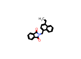 C=Cc1ccc(CN2C(=O)c3ccccc3C2=O)c2ccccc12